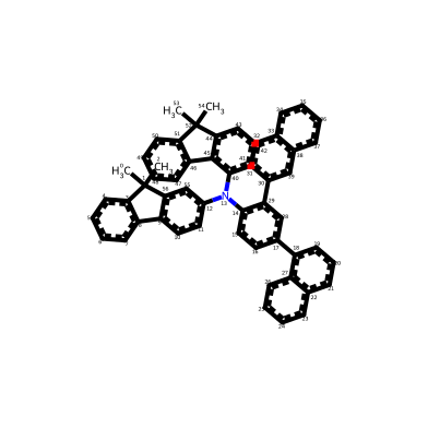 CC1(C)c2ccccc2-c2ccc(N(c3ccc(-c4cccc5ccccc45)cc3-c3ccc4ccccc4c3)c3cccc4c3-c3ccccc3C4(C)C)cc21